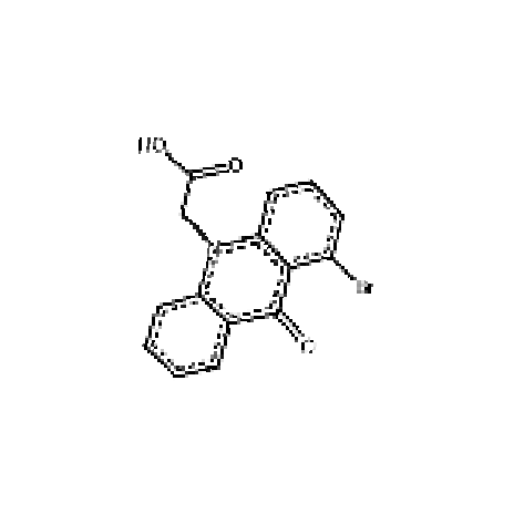 O=C(O)Cn1c2ccccc2c(=O)c2c(Br)cccc21